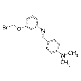 CN(C)c1ccc(C=Nc2cccc(OCBr)c2)cc1